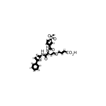 CS(=O)(=O)n1ccc(C(=O)N[C@@H](CCOCC=CC(=O)O)C(=O)Nc2nc(-c3ccccc3)cs2)c1